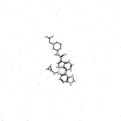 C[C](C)CN1CCC[C@@H](NC(=O)c2c[nH]c3c(-c4c(OCC5CC5)ccc5c4OCO5)ncnc23)C1